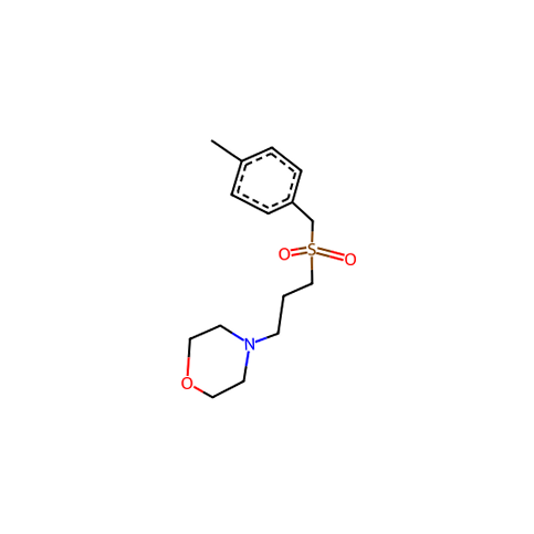 Cc1ccc(CS(=O)(=O)CCCN2CCOCC2)cc1